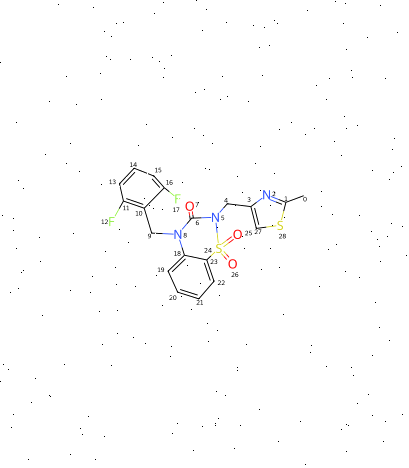 Cc1nc(CN2C(=O)N(Cc3c(F)cccc3F)c3ccccc3S2(=O)=O)cs1